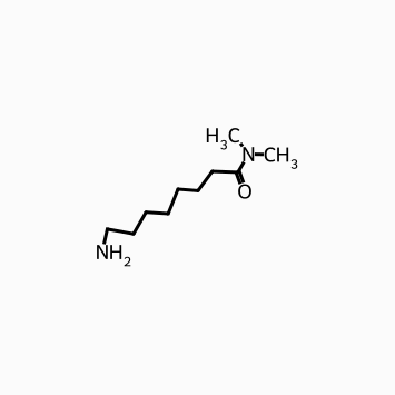 CN(C)C(=O)CCCCCCCN